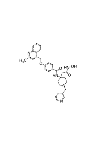 Cc1cc(COc2ccc(C(=O)NC3(CC(=O)NO)CCN(Cc4cccnc4)CC3)cc2)c2ccccc2n1